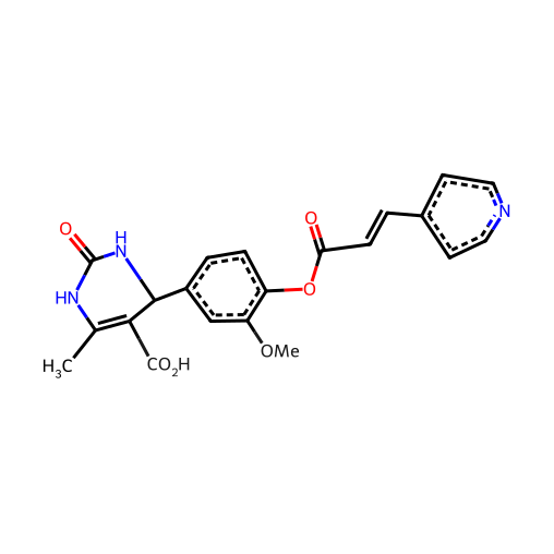 COc1cc(C2NC(=O)NC(C)=C2C(=O)O)ccc1OC(=O)C=Cc1ccncc1